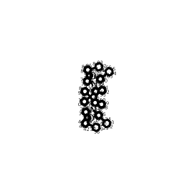 c1ccc(C2(c3ccccc3)c3cc(N(c4ccc(C5CCCCC5)cc4)c4cccc5c4oc4c(C6CCCCC6)cccc45)c4ccccc4c3-c3c2cc(N(c2ccc(C4CCCCC4)cc2)c2cccc4c2oc2c(C5CCCCC5)cccc24)c2ccccc32)cc1